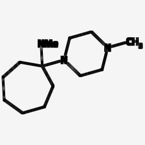 CNC1(N2CCN(C)CC2)CCCCCC1